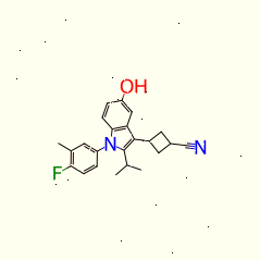 Cc1cc(-n2c(C(C)C)c(C3CC(C#N)C3)c3cc(O)ccc32)ccc1F